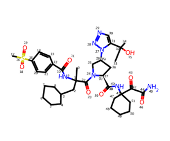 CC(CC1CCCCC1)(NC(=O)c1ccc(S(C)(=O)=O)cc1)C(=O)N1C[C@@H](n2nncc2C(C)(C)O)C[C@H]1C(=O)NC1(C(=O)C(N)=O)CCCCC1